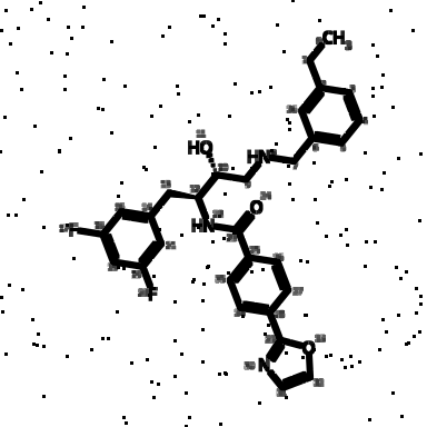 CCc1cccc(CNC[C@@H](O)[C@H](Cc2cc(F)cc(F)c2)NC(=O)c2ccc(-c3ncco3)cc2)c1